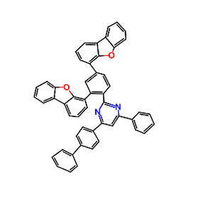 c1ccc(-c2ccc(-c3cc(-c4ccccc4)nc(-c4ccc(-c5cccc6c5oc5ccccc56)cc4-c4cccc5c4oc4ccccc45)n3)cc2)cc1